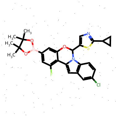 CC1(C)OB(c2cc(F)c3c(c2)OC(c2cnc(C4CC4)s2)n2c-3cc3cc(Cl)ccc32)OC1(C)C